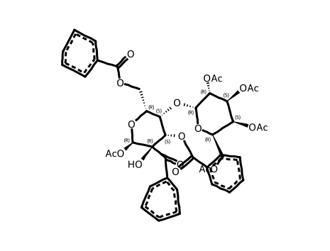 CC(=O)OC[C@H]1O[C@H](O[C@H]2[C@@H](COC(=O)c3ccccc3)O[C@H](OC(C)=O)[C@@](O)(C(=O)c3ccccc3)[C@H]2OC(=O)c2ccccc2)[C@H](OC(C)=O)[C@@H](OC(C)=O)[C@H]1OC(C)=O